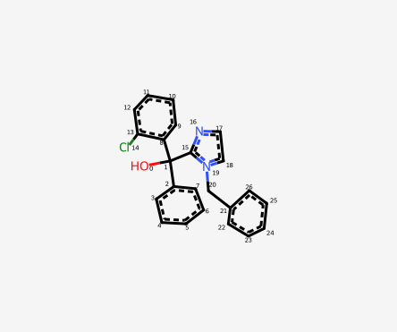 OC(c1ccccc1)(c1ccccc1Cl)c1nccn1Cc1ccccc1